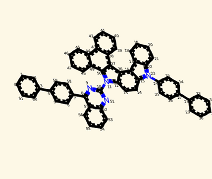 c1ccc(-c2ccc(-c3nc(-n4c5ccc6c(c7ccccc7n6-c6ccc(-c7ccccc7)cc6)c5c5c6ccccc6c6ccccc6c54)nc4ccccc34)cc2)cc1